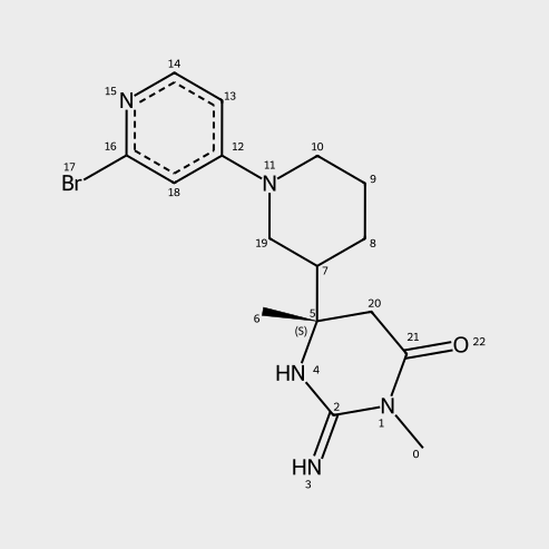 CN1C(=N)N[C@](C)(C2CCCN(c3ccnc(Br)c3)C2)CC1=O